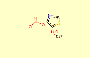 O.[Ca+2].[O-]B[O-].c1cscn1